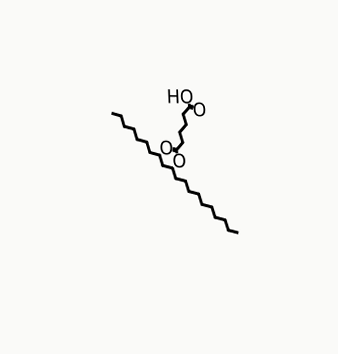 CCCCCCCCCCC(CCCCCCCCC)OC(=O)CCCCC(=O)O